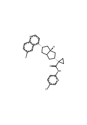 O=C(Nc1ccc(Cl)cn1)C1([C@@H]2CC3C[C@H](c4ccnc5ccc(F)cc45)C[C@@H]3C2)CC1